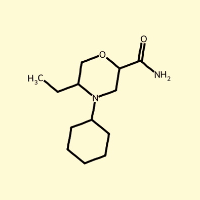 CCC1COC(C(N)=O)CN1C1CCCCC1